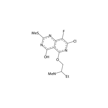 CCC(COc1nc(Cl)c(F)c2nc(SC)nc(O)c12)NC